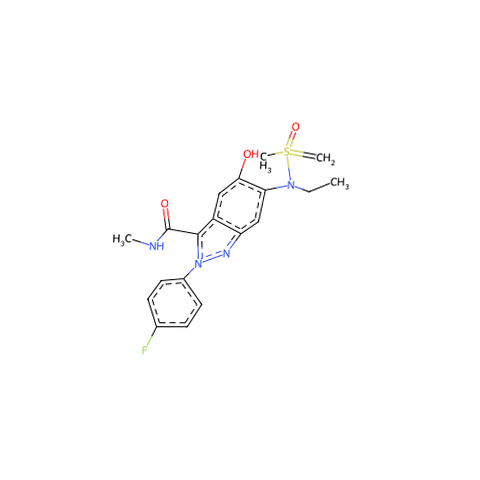 C=S(C)(=O)N(CC)c1cc2nn(-c3ccc(F)cc3)c(C(=O)NC)c2cc1O